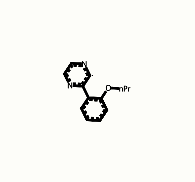 CCCOc1ccccc1-c1[c]nccn1